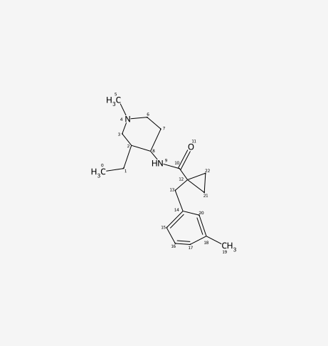 CCC1CN(C)CCC1NC(=O)C1(Cc2cccc(C)c2)CC1